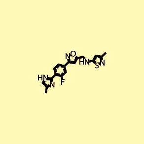 Cc1cc(NCc2cc(-c3ccc(-c4nc(C)c[nH]4)c(F)c3)no2)sn1